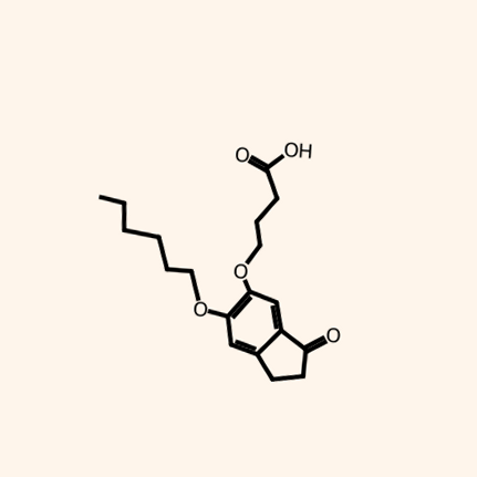 CCCCCCOc1cc2c(cc1OCCCC(=O)O)C(=O)CC2